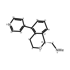 CNC[C@@H]1OCCc2c(-c3ccncc3)cccc21